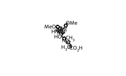 CCCC(C)Nc1nc(N(Cc2ccc(OC)cc2)Cc2ccc(OC)cc2)c2ncc(C(O)c3cnc(N4CCC(CN(C)C(=O)O)CC4)c(C)c3)n2n1